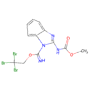 COC(=O)Nc1nc2ccccc2n1C(=N)OCC(Br)(Br)Br